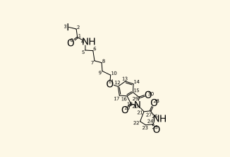 O=C(CI)NCCCCCCOc1ccc2c(c1)C(=O)N(C1CCC(=O)NC1=O)C2=O